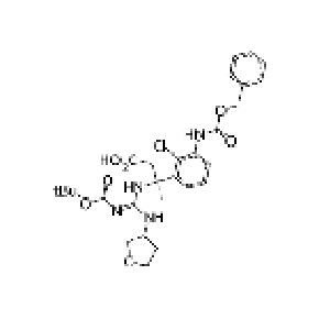 CC(C)(C)OC(=O)/N=C(/NC1CCOC1)N[C@@](C)(CC(=O)O)c1cccc(NC(=O)OCc2ccccc2)c1Cl